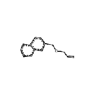 C=CCOCc1ccc2ccccc2c1